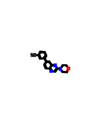 N#Cc1cccc(-c2ccc3ncc(N4CCOCC4)nc3c2)c1